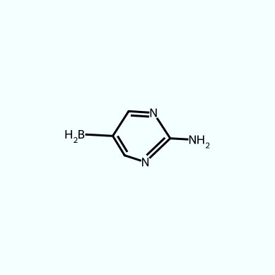 Bc1cnc(N)nc1